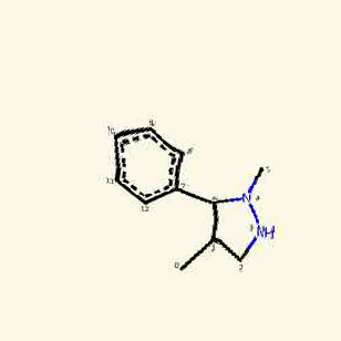 CC1CNN(C)C1c1ccccc1